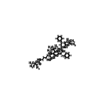 CC(C)(C)OC(=O)NCCCC[C@@H](NC(=O)[C@H](NC(=O)[C@@H](Cc1ccccc1)NC(=O)[C@@H](CCc1ccccc1)NC(=O)OC(C)(C)C)C(C)(C)C)C(=O)O